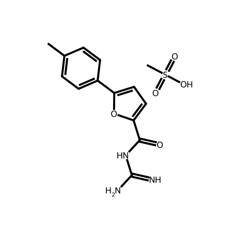 CS(=O)(=O)O.Cc1ccc(-c2ccc(C(=O)NC(=N)N)o2)cc1